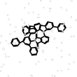 O=C1c2cccc(-n3c4cc(-c5cncnc5)ccc4c4ccc(-c5cncnc5)cc43)c2C(=O)N1c1c(-c2ccccc2)cc(-c2ccccc2)cc1-c1ccccc1